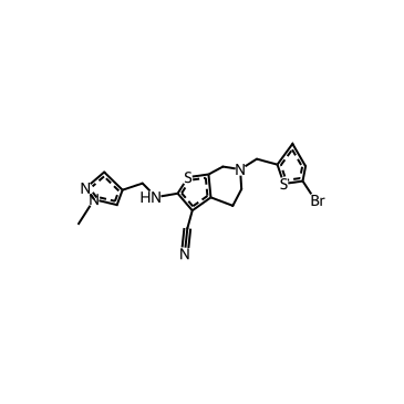 Cn1cc(CNc2sc3c(c2C#N)CCN(Cc2ccc(Br)s2)C3)cn1